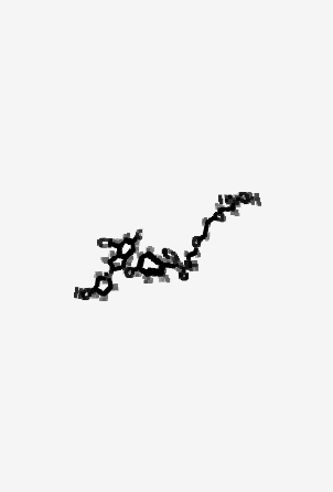 O=S(=O)(NCCOCCOCCNO)c1ccc(O[C@H]2c3cc(Cl)cc(Cl)c3C[C@@H]2N2CC[C@@H](O)C2)cc1